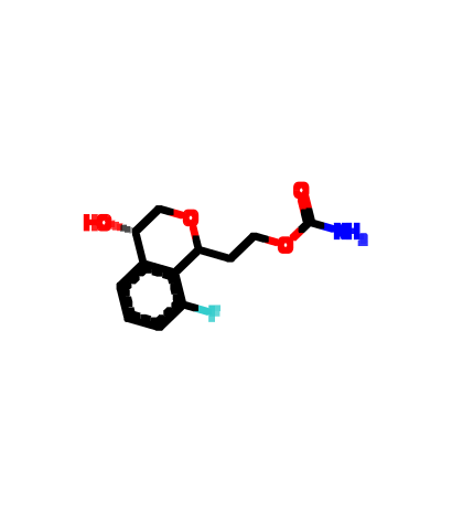 NC(=O)OCCC1OC[C@@H](O)c2cccc(F)c21